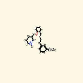 COc1cccc(CCCCc2ccccc2OCC2CCCN(C)C2)c1